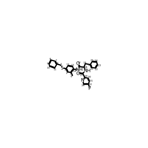 Cc1cc(SCc2ccccc2)ccc1NC(=O)C(Cc1ccccc1)NC(=O)c1ccc(F)cn1